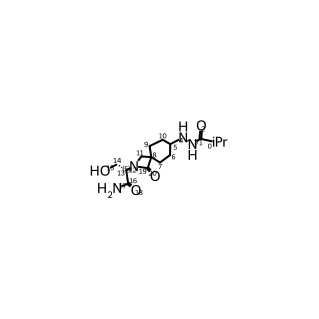 CC(C)C(=O)NNC1CCC2(CC1)CN([C@@H](CO)C(N)=O)C2=O